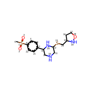 CS(=O)(=O)c1ccc(C2CNCC(SCC3CCON3)N2)cc1